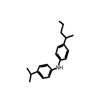 CCCC(C)c1ccc(Nc2ccc(C(C)C)cc2)cc1